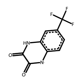 O=C1[N]c2ccc(C(F)(F)F)cc2NC1=O